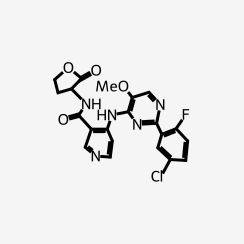 COc1cnc(-c2cc(Cl)ccc2F)nc1Nc1ccncc1C(=O)NC1CCOC1=O